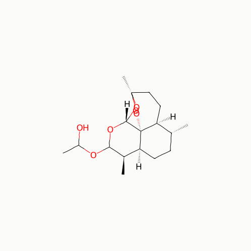 CC(O)OC1O[C@@H]2O[C@]3(C)CC[C@H]4[C@H](C)CC[C@@H]([C@H]1C)[C@@]24OO3